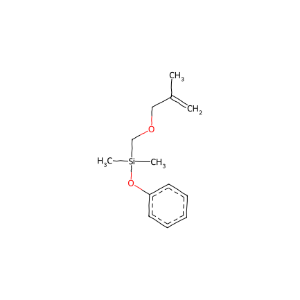 C=C(C)COC[Si](C)(C)Oc1ccccc1